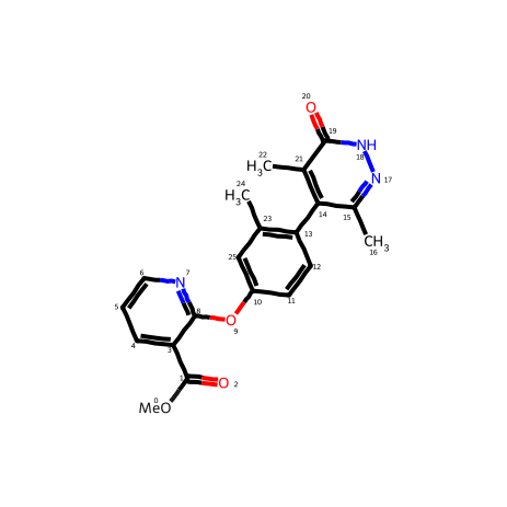 COC(=O)c1cccnc1Oc1ccc(-c2c(C)n[nH]c(=O)c2C)c(C)c1